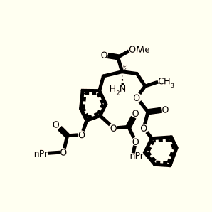 CCCOC(=O)Oc1ccc(C[C@](N)(CC(C)OC(=O)Oc2ccccc2)C(=O)OC)cc1OC(=O)OCCC